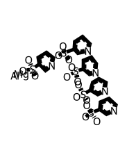 O=S(=O)([O-])c1cccnc1.O=S(=O)([O-])c1cccnc1.O=S(=O)([O-])c1cccnc1.O=S(=O)([O-])c1cccnc1.O=S(=O)([O-])c1cccnc1.[Al+3].[Mg+2]